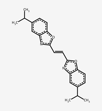 CC(C)c1ccc2oc(/C=C/c3nc4cc(C(C)C)ccc4o3)nc2c1